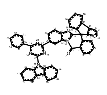 O=C1c2ccccc2C2(c3ccccc3-c3ccccc32)c2nc3ccc(-c4nc(-c5ccccc5)nc(-n5c6ccccc6c6ccccc65)n4)cc3n21